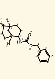 O=C(NC1CC[C@@H]2C[C@H]1CCC2=O)OCc1ccccc1